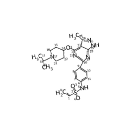 C=CS(=O)(=O)Nc1ccc(-c2nc(OC3CCN(C(C)C)CC3)c3c(C)n[nH]c3n2)cc1